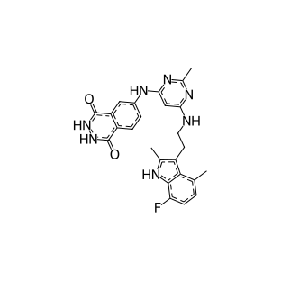 Cc1nc(NCCc2c(C)[nH]c3c(F)ccc(C)c23)cc(Nc2ccc3c(=O)[nH][nH]c(=O)c3c2)n1